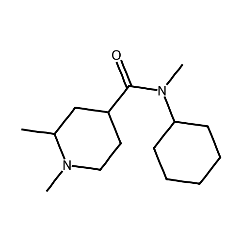 CC1CC(C(=O)N(C)C2CCCCC2)CCN1C